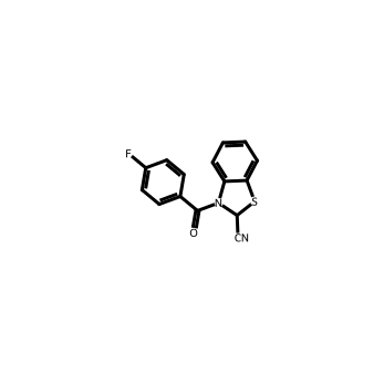 N#CC1Sc2ccccc2N1C(=O)c1ccc(F)cc1